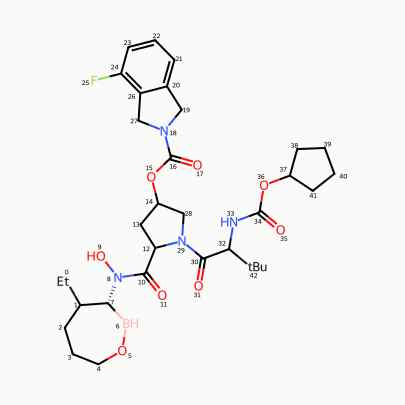 CCC1CCCOB[C@H]1N(O)C(=O)C1CC(OC(=O)N2Cc3cccc(F)c3C2)CN1C(=O)C(NC(=O)OC1CCCC1)C(C)(C)C